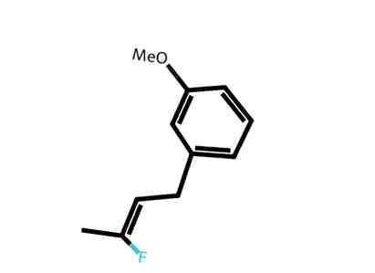 COc1cccc(C/C=C(/C)F)c1